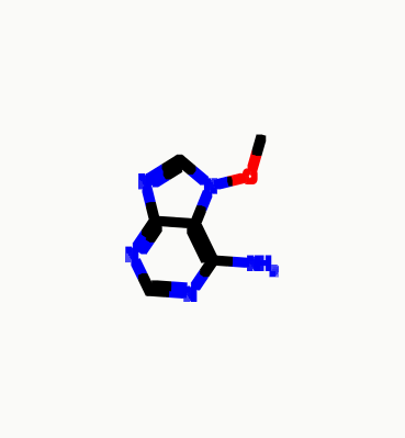 COn1cnc2ncnc(N)c21